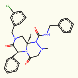 CN1CC(=O)N2[C@@H](c3ccccc3)C(=O)N(Cc3cccc(Cl)c3)C[C@@H]2N1C(=O)NCc1ccccc1